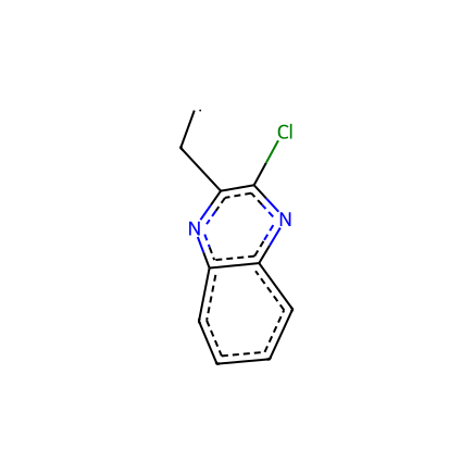 [CH2]Cc1nc2ccccc2nc1Cl